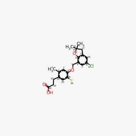 Cc1cc(OCc2cc(Cl)cc3c2OC(C)(C)C3)c(F)cc1CCC(=O)O